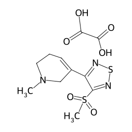 CN1CCC=C(c2nsnc2S(C)(=O)=O)C1.O=C(O)C(=O)O